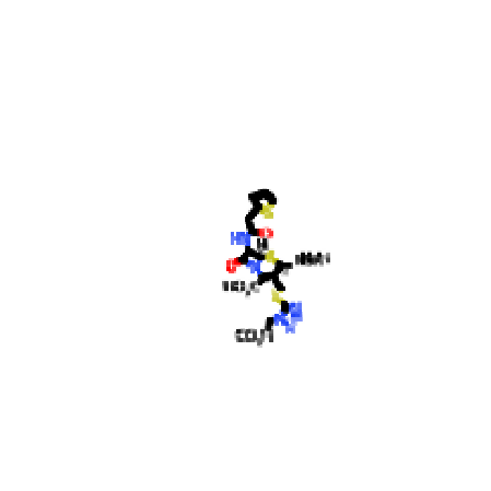 C[C@@H]1S[C@@H]2C(NC(=O)Cc3cccs3)C(=O)N2C(C(=O)O)=C1CSc1nnnn1CC(=O)O.[NaH].[NaH]